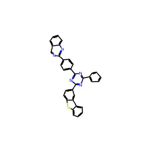 c1ccc(-c2nc(-c3ccc(-c4ncc5ccccc5n4)cc3)nc(-c3ccc4sc5ccccc5c4c3)n2)cc1